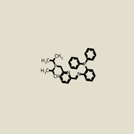 CC(C)P(Cc1cccc(/C=N/c2ccccc2P(c2ccccc2)c2ccccc2)n1)C(C)C